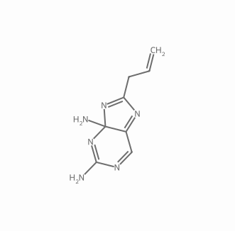 C=CCC1=NC2(N)N=C(N)N=CC2=N1